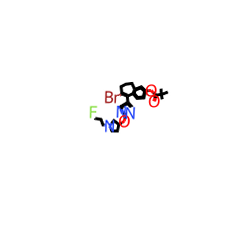 CC(C)(C)C(=O)Oc1ccc2c(c1)CCCC(Br)=C2c1cnc(OC2CCN(CCCF)C2)nc1